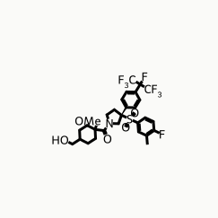 COC1(C(=O)N2CC[C@](c3ccc(C(F)(C(F)(F)F)C(F)(F)F)cc3)(S(=O)(=O)c3ccc(F)c(C)c3)C2)CCC(CO)CC1